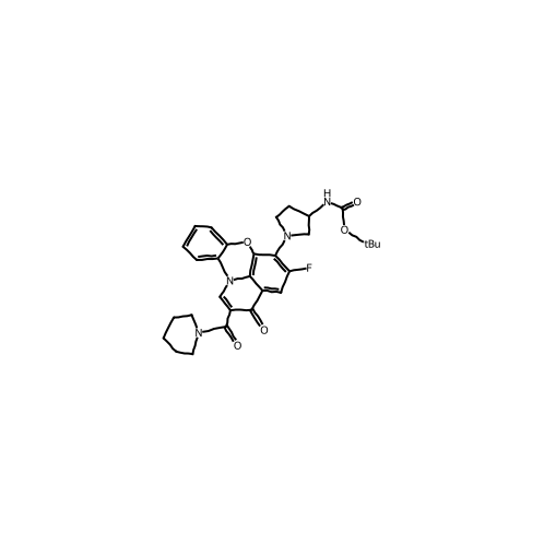 CC(C)(C)OC(=O)NC1CCN(c2c(F)cc3c(=O)c(C(=O)N4CCCCC4)cn4c3c2Oc2ccccc2-4)C1